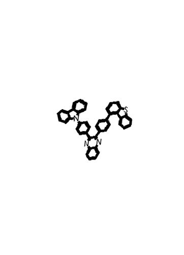 c1ccc2nc(-c3ccc(-n4c5ccccc5c5ccccc54)cc3)c(-c3ccc(-c4cccc5sc6ccccc6c45)cc3)nc2c1